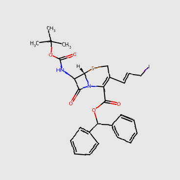 CC(C)(C)OC(=O)NC1C(=O)N2C(C(=O)OC(c3ccccc3)c3ccccc3)=C(/C=C/CI)CS[C@@H]12